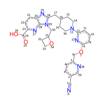 N#Cc1ccc(COc2cccc(N3CCC(Cc4nc5ccc(C(=O)O)nc5n4CC4CCO4)CC3)n2)nc1